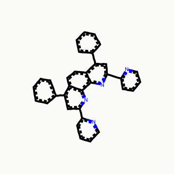 c1ccc(-c2cc(-c3ccccn3)nc3c2ccc2c(-c4ccccc4)cc(-c4ccccn4)nc23)cc1